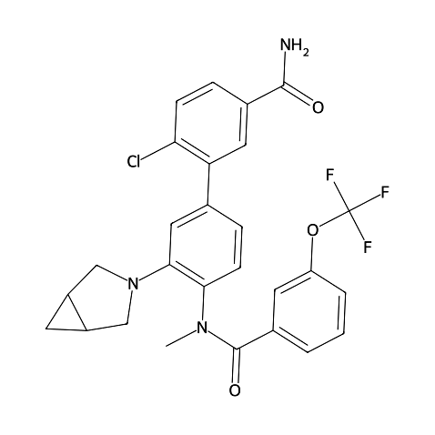 CN(C(=O)c1cccc(OC(F)(F)F)c1)c1ccc(-c2cc(C(N)=O)ccc2Cl)cc1N1CC2CC2C1